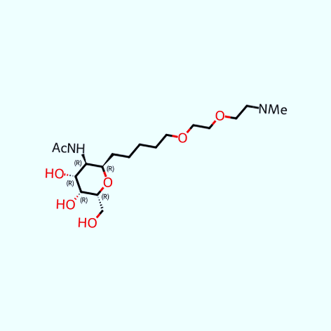 CNCCOCCOCCCCC[C@H]1O[C@H](CO)[C@H](O)[C@H](O)[C@H]1NC(C)=O